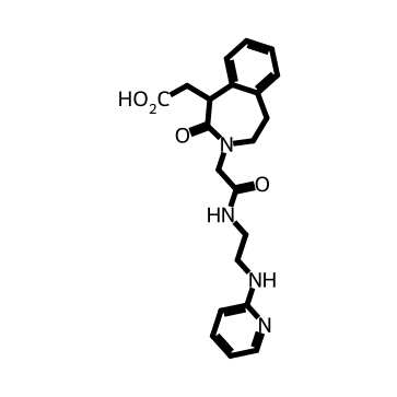 O=C(O)CC1C(=O)N(CC(=O)NCCNc2ccccn2)CCc2ccccc21